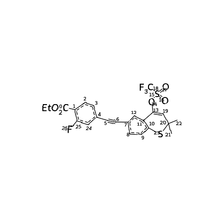 CCOC(=O)c1ccc(C#Cc2ccc3c(c2)C(OS(=O)(=O)C(F)(F)F)=CC(C)(C)S3)cc1F